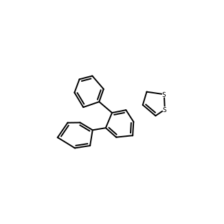 C1=CSSC1.c1ccc(-c2ccccc2-c2ccccc2)cc1